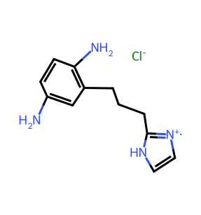 Nc1ccc(N)c(CCCC2=[N+]C=CN2)c1.[Cl-]